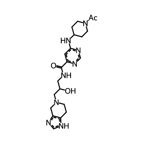 CC(=O)N1CCC(Nc2cc(C(=O)NCC(O)CN3CCc4[nH]cnc4C3)ncn2)CC1